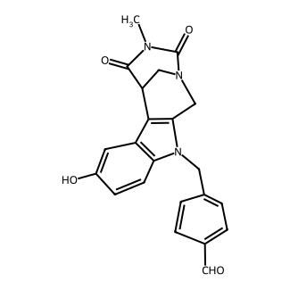 CN1C(=O)C2CN(Cc3c2c2cc(O)ccc2n3Cc2ccc(C=O)cc2)C1=O